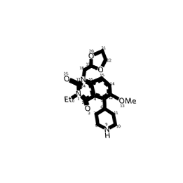 CCn1c(=O)c2c(C3CCNCC3)c(OC)ccc2n(CC2OCCO2)c1=O